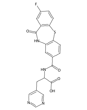 O=C(NC(Cc1cncnc1)C(=O)O)c1ccc2c(c1)NC(=O)c1cc(F)ccc1S2